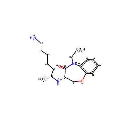 NCCCCC[C@H](N[C@H]1COc2ccccc2N(CC(=O)O)C1=O)C(=O)O